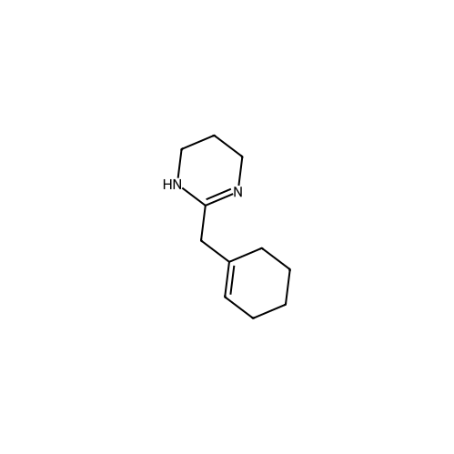 C1=C(CC2=NCCCN2)CCCC1